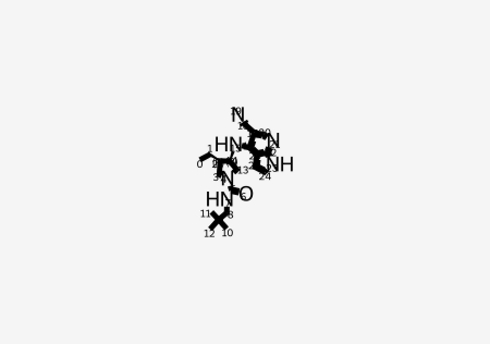 CC[C@@H]1CN(C(=O)NCC(C)(C)C)C[C@@H]1Nc1c(C#N)cnc2[nH]ccc12